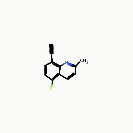 [C]#Cc1ccc(F)c2ccc(C)nc12